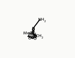 C=C1CC(=O)N(c2cccc(NC(=O)C3CC3)c2)c2nc(Nc3ccc(N4CCN(CCCCCCCCCCCCN)CC4)cc3OC)ncc21